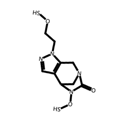 O=C1N2Cc3c(cnn3CCOS)C(C2)N1OS